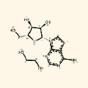 Nc1ncnc2c1ncn2[C@@H]1O[C@H](CO)[C@@H](O)[C@H]1O.OCCO